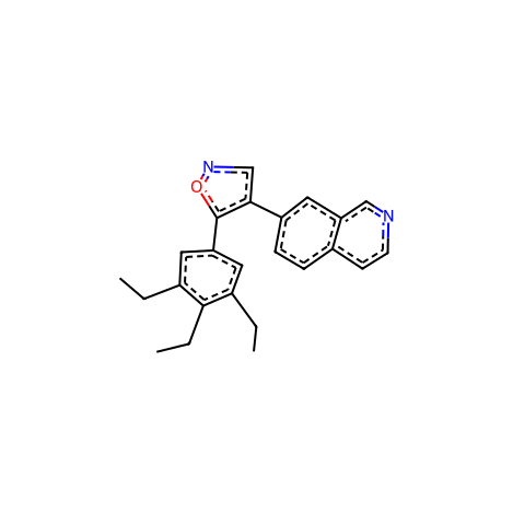 CCc1cc(-c2oncc2-c2ccc3ccncc3c2)cc(CC)c1CC